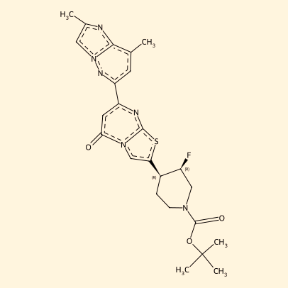 Cc1cn2nc(-c3cc(=O)n4cc([C@@H]5CCN(C(=O)OC(C)(C)C)C[C@@H]5F)sc4n3)cc(C)c2n1